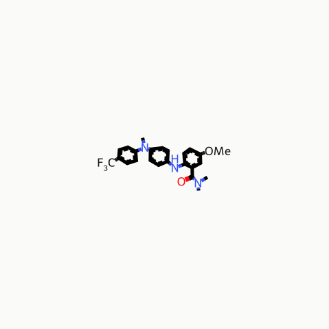 COc1ccc(Nc2ccc(N(C)c3ccc(C(F)(F)F)cc3)cc2)c(C(=O)N(C)C)c1